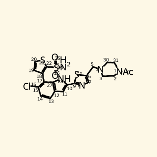 CC(=O)N1CCN(Cc2cnc(-c3cc4ccc(Cl)c(-c5ccsc5S(N)(=O)=O)c4[nH]3)s2)CC1